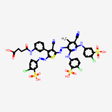 Cc1c(C#N)c(Nc2ccc(Cl)c(S(=O)(=O)O)c2)nc(Nc2ccc(Cl)c(S(=O)(=O)O)c2)c1N=Nc1sc(N=Nc2ccc(Cl)c(S(=O)(=O)O)c2)c(-c2cccc(NC(=O)CCC(=O)O)c2)c1C#N